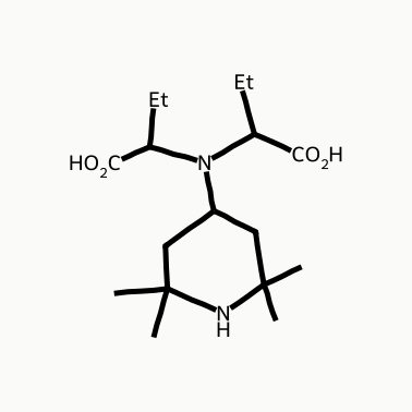 CCC(C(=O)O)N(C1CC(C)(C)NC(C)(C)C1)C(CC)C(=O)O